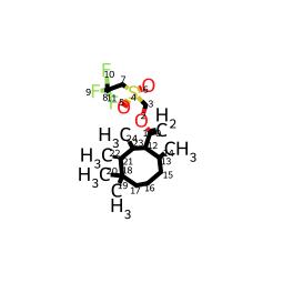 C=C(OCS(=O)(=O)CC(F)(F)F)C1C(C)CCCC(C)(C)[C@@H](C)C1C